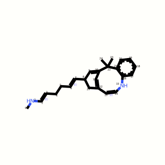 CN/C=C/CC/C=C/C1C=C2C=C(/C=C\Nc3ccccc3C2(C)C)C1